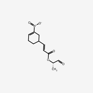 C[C@@H](C=O)OC(=O)/C=C/C1CCC=C([N+](=O)[O-])C1